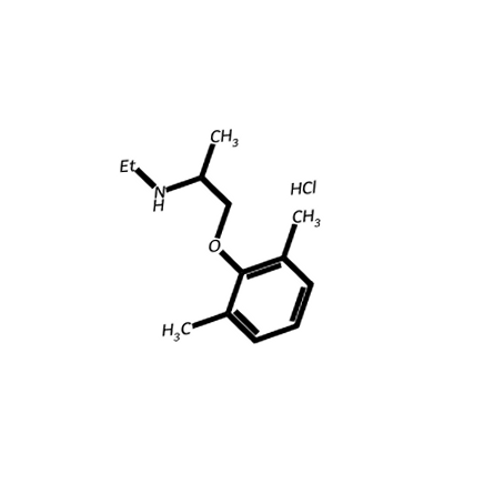 CCNC(C)COc1c(C)cccc1C.Cl